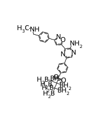 BC(B)(B)C(B)(C(B)(B)B)S(=O)(=O)c1ccc(-c2cnc(N)c(-c3cc(-c4ccc(CNC)cc4)no3)n2)cc1